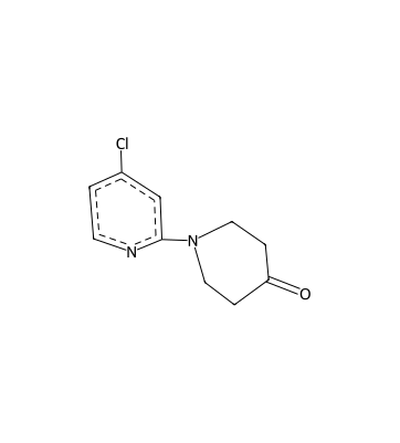 O=C1CCN(c2cc(Cl)ccn2)CC1